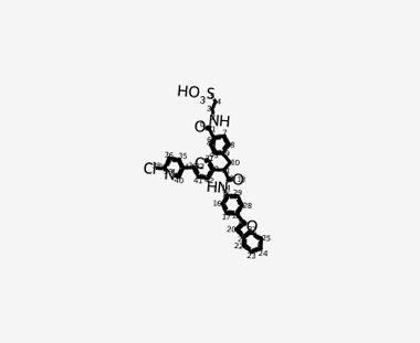 O=C(NCCS(=O)(=O)O)c1ccc(CC(C(=O)Nc2ccc(-c3cc4ccccc4o3)cc2)c2ccc(-c3ccc(Cl)nc3)cc2)cc1